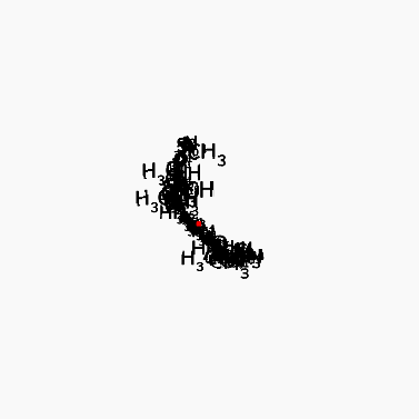 Cc1ncsc1-c1ccc([C@H](C)NC(=O)[C@@H]2C[C@@H](O)CN2C(=O)[C@@H](NC(=O)CN[C@H]2C[C@H](N3CCN(c4ccc(C(=O)N[C@H]5C(C)(C)[C@H](Oc6ccc(C#N)c(Cl)c6)C5(C)C)cn4)CC3)C2)C(C)(C)C)cc1